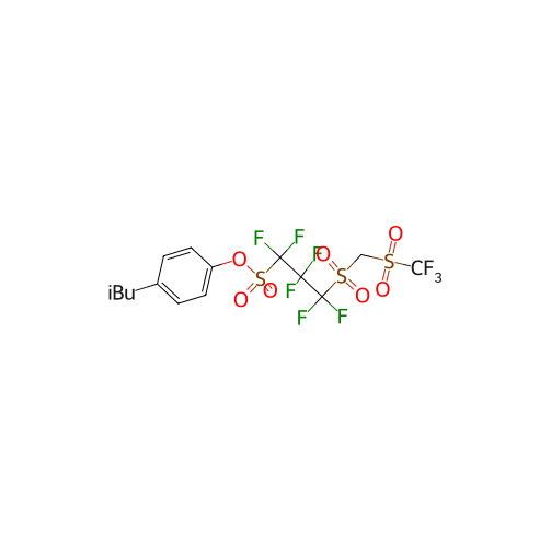 CCC(C)c1ccc(OS(=O)(=O)C(F)(F)C(F)(F)C(F)(F)S(=O)(=O)CS(=O)(=O)C(F)(F)F)cc1